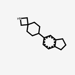 c1cc2c(cc1C1CCC3(CC1)CNC3)CCC2